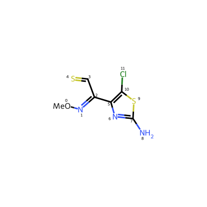 CON=C(C=S)c1nc(N)sc1Cl